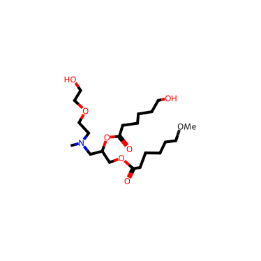 COCCCCCC(=O)OCC(CN(C)CCOCCO)OC(=O)CCCCCO